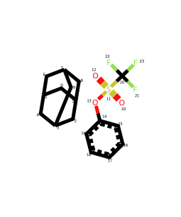 C1C2CC3CC1CC(C2)C3.O=S(=O)(Oc1ccccc1)C(F)(F)F